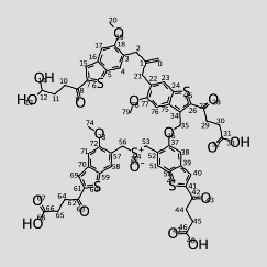 C=C(Cc1cc2sc(C(=O)CCC(O)O)cc2cc1OC)Cc1cc2sc(C(=O)CCC(=O)O)c(COc3cc4cc(C(=O)CCC(=O)O)sc4cc3C[S+]([O-])Cc3cc4sc(C(=O)CCC(=O)O)cc4cc3OC)c2cc1OC